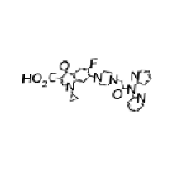 O=C(O)c1cn(C2CC2)c2cc(N3CCN(CC(=O)N(c4ccccn4)c4ccccn4)CC3)c(F)cc2c1=O